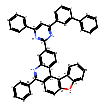 c1ccc(-c2cccc(-c3cc(-c4ccccc4)nc(-c4ccc5c(c4)nc(-c4ccccc4)c4ccc6oc7ccccc7c6c45)n3)c2)cc1